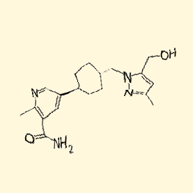 Cc1cc(CO)n(C[C@H]2CC[C@H](c3cnc(C)c(C(N)=O)c3)CC2)n1